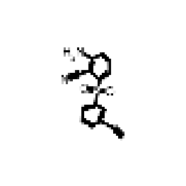 C#Cc1cccc(S(=O)(=O)c2cccc(N)c2C#N)c1